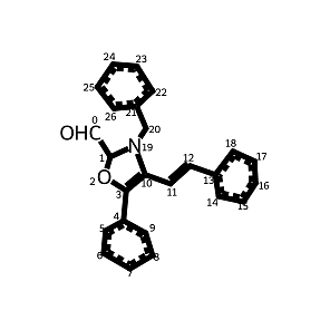 O=CC1OC(c2ccccc2)=C(C=Cc2ccccc2)N1Cc1ccccc1